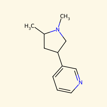 CC1CC(c2cccnc2)CN1C